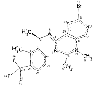 Cc1c([C@@H](C)/N=c2\nc(C)n(C)c3cnc(Br)cc23)cccc1C(F)(F)F